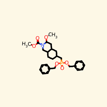 COC(=O)N1CC2CCC(CP(=O)(OCc3ccccc3)OCc3ccccc3)CC2CC1OC